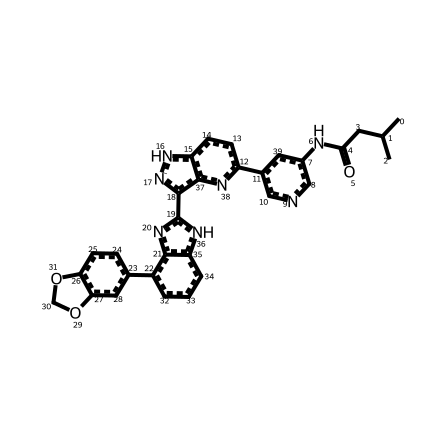 CC(C)CC(=O)Nc1cncc(-c2ccc3[nH]nc(-c4nc5c(-c6ccc7c(c6)OCO7)cccc5[nH]4)c3n2)c1